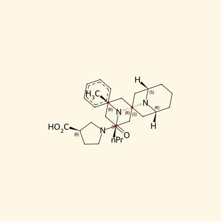 CCC[C@H]1C[C@@H](C)C[C@H](N2[C@@H]3CCC[C@H]2C[C@@H](N(C(=O)N2CC[C@@H](C(=O)O)C2)c2ccccc2)C3)C1